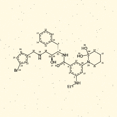 CCNc1cc(C(=O)N[C@@H](Cc2ccccc2)[C@@H](O)CNCc2cc(Br)cs2)cc(N2CCCCS2(O)O)c1